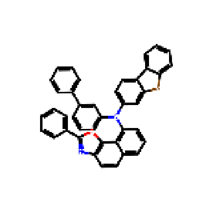 c1ccc(-c2cccc(N(c3ccc4c(c3)sc3ccccc34)c3cccc4ccc5nc(-c6ccccc6)oc5c34)c2)cc1